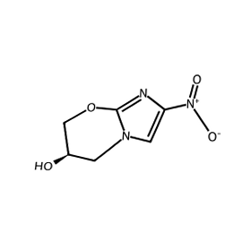 O=[N+]([O-])c1cn2c(n1)OC[C@H](O)C2